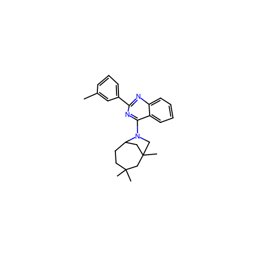 Cc1cccc(-c2nc(N3CC4(C)CC3CCC(C)(C)C4)c3ccccc3n2)c1